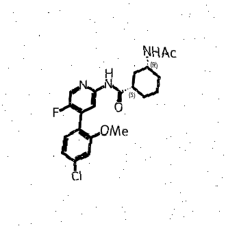 COc1cc(Cl)ccc1-c1cc(NC(=O)[C@H]2CCC[C@@H](NC(C)=O)C2)ncc1F